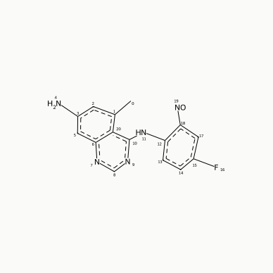 Cc1cc(N)cc2ncnc(Nc3ccc(F)cc3N=O)c12